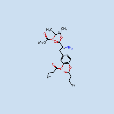 COC(=O)OC(C)[C@H](C)OC(=O)[C@@H](N)Cc1ccc(OC(=O)CCC(C)C)c(OC(=O)CCC(C)C)c1